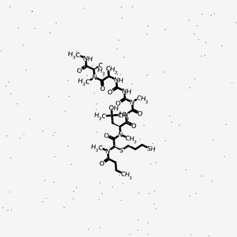 CCCC(=O)N(C)[C@H](SCCCS)C(=O)N(C)[C@@H](CC(C)(C)O)C(=O)NC(=O)N(C)C(=O)NC(=O)NC(C)C(=O)N(C)[C@H](C)C(=O)NC